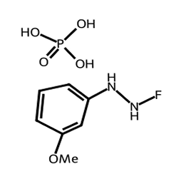 COc1cccc(NNF)c1.O=P(O)(O)O